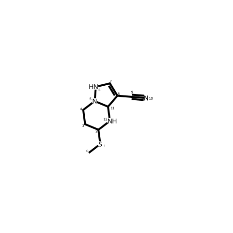 CSC1CCN2NC=C(C#N)C2N1